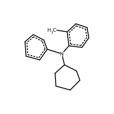 Cc1ccccc1N(c1ccccc1)C1CCCCC1